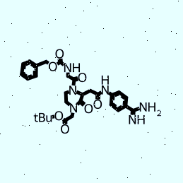 CC(C)(C)OC(=O)CN1CCN(C(=O)CNC(=O)OCc2ccccc2)C(CC(=O)Nc2ccc(C(=N)N)cc2)C1=O